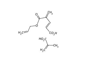 C=C(C)C(=O)O.C=CCOC(=O)C(=C)C=CC(=O)O